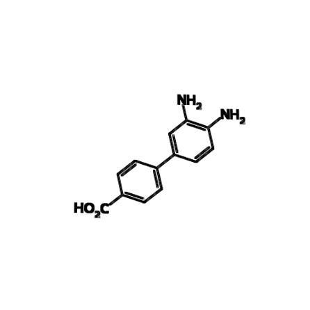 Nc1ccc(-c2ccc(C(=O)O)cc2)cc1N